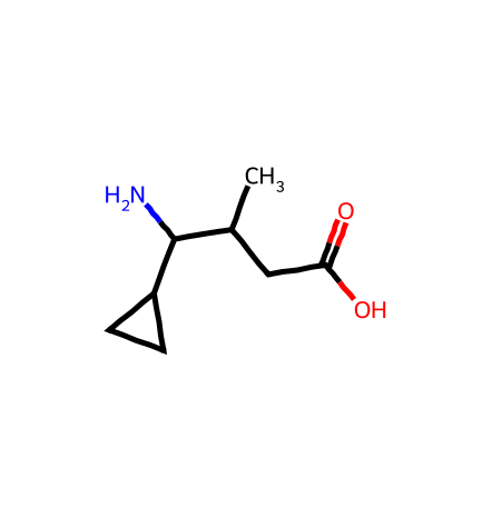 CC(CC(=O)O)C(N)C1CC1